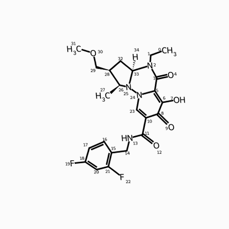 CCN1C(=O)c2c(O)c(=O)c(C(=O)NCc3ccc(F)cc3F)cn2N2[C@@H](C)[C@@H](COC)C[C@@H]12